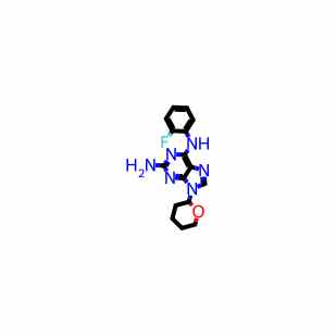 Nc1nc(Nc2ccccc2F)c2ncn(C3CCCCO3)c2n1